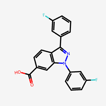 O=C(O)c1ccc2c(-c3cccc(F)c3)nn(-c3cccc(F)c3)c2c1